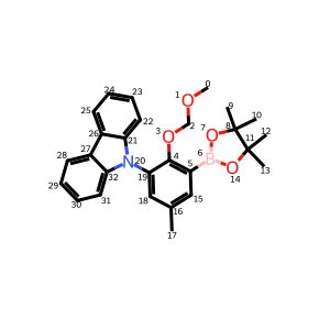 COCOc1c(B2OC(C)(C)C(C)(C)O2)cc(C)cc1-n1c2ccccc2c2ccccc21